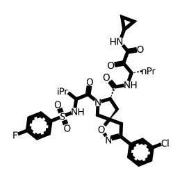 CCC[C@H](NC(=O)[C@@H]1C[C@]2(CC(c3cccc(Cl)c3)=NO2)CN1C(=O)C(NS(=O)(=O)c1ccc(F)cc1)C(C)C)C(=O)C(=O)NC1CC1